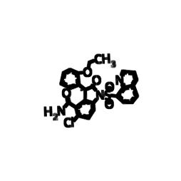 CCOc1ccccc1[C]1C(=O)N(S(=O)(=O)c2cccc3cccnc23)c2ccc(Cl)c(C(N)=O)c21